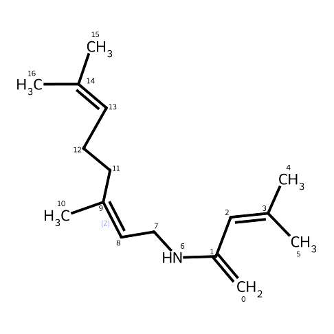 C=C(C=C(C)C)NC/C=C(/C)CCC=C(C)C